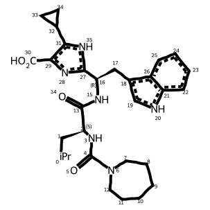 CC(C)C[C@H](NC(=O)N1CCCCCC1)C(=O)N[C@H](Cc1c[nH]c2ccccc12)c1nc(C(=O)O)c(C2CC2)[nH]1